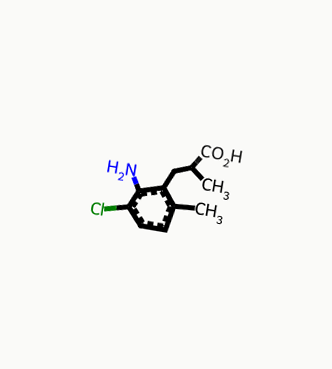 Cc1ccc(Cl)c(N)c1CC(C)C(=O)O